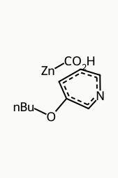 CCCCOc1cccnc1.O=[C](O)[Zn]